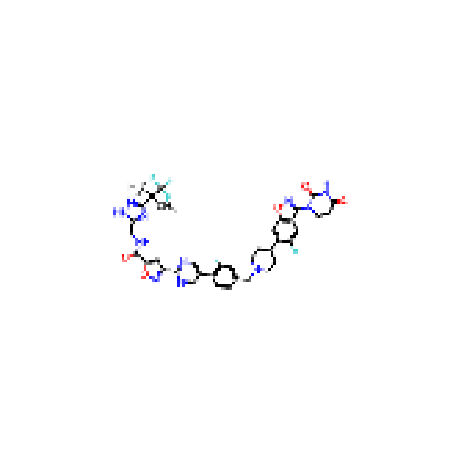 CC(C)(c1n[nH]c(CNC(=O)c2cc(-c3ncc(-c4ccc(CN5CCC(c6cc7onc(N8CCC(=O)NC8=O)c7cc6F)CC5)cc4F)cn3)no2)n1)C(F)(F)F